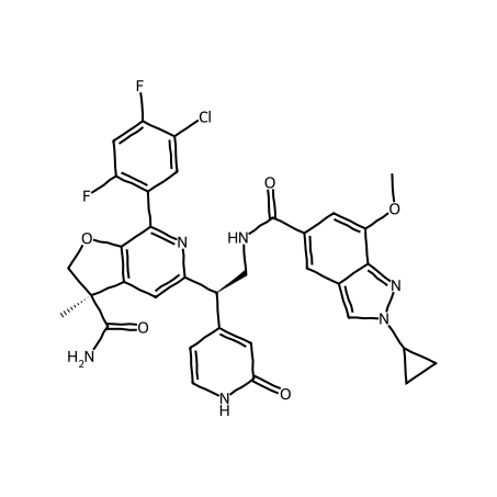 COc1cc(C(=O)NC[C@@H](c2cc[nH]c(=O)c2)c2cc3c(c(-c4cc(Cl)c(F)cc4F)n2)OC[C@]3(C)C(N)=O)cc2cn(C3CC3)nc12